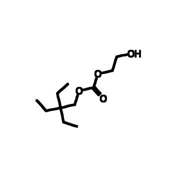 CCC(CC)(CC)COC(=O)OCCO